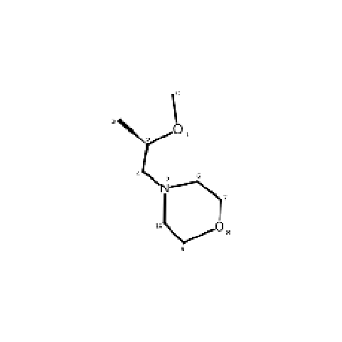 CO[C@H](C)CN1CCOCC1